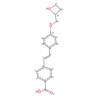 O=C(O)c1ccc(C=Cc2ccc(OCC3CCO3)cc2)cc1